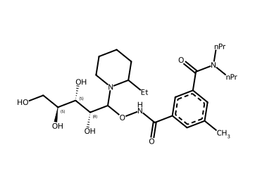 CCCN(CCC)C(=O)c1cc(C)cc(C(=O)NOC([C@H](O)[C@@H](O)[C@@H](O)CO)N2CCCCC2CC)c1